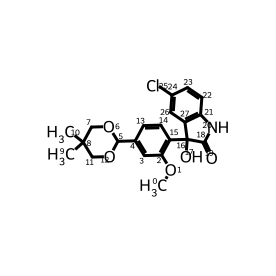 COc1cc(C2OCC(C)(C)CO2)ccc1C1(O)C(=O)Nc2ccc(Cl)cc21